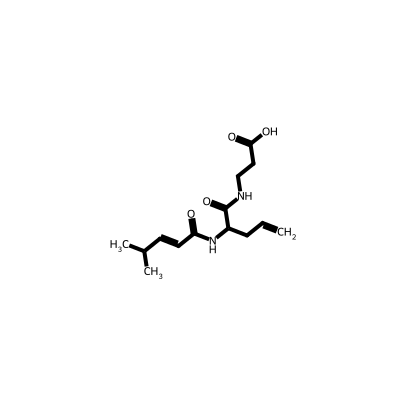 C=CCC(NC(=O)/C=C/C(C)C)C(=O)NCCC(=O)O